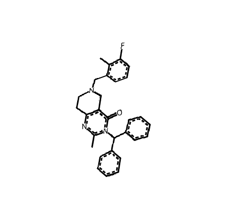 Cc1c(F)cccc1CN1CCc2nc(C)n(C(c3ccccc3)c3ccccc3)c(=O)c2C1